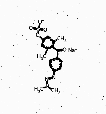 Cc1cc(OS(=O)(=O)[O-])cc(C)c1C(=O)c1ccc(N=NN(C)C)cc1.[Na+]